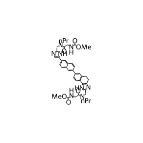 CCCN(Cc1ncc(-c2ccc3cc(-c4ccc5c(c4)CCc4nc(CN(CCC)C(=O)CNC(=O)OC)[nH]c4-5)ccc3c2)[nH]1)C(=O)CNC(=O)OC